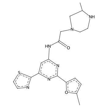 Cc1ccc(-c2nc(NC(=O)CN3CCNC(C)C3)cc(-c3nccs3)n2)o1